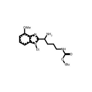 CCn1c(C(N)CCCNC(=O)OC(C)(C)C)nc2c(OC)cccc21